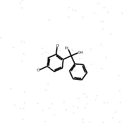 CCC(O)(c1ccccc1)c1ccc(Cl)cc1Cl